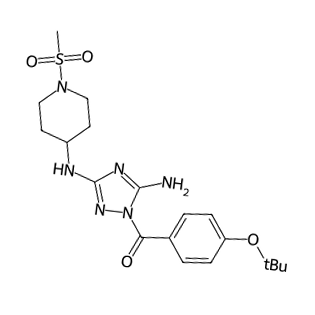 CC(C)(C)Oc1ccc(C(=O)n2nc(NC3CCN(S(C)(=O)=O)CC3)nc2N)cc1